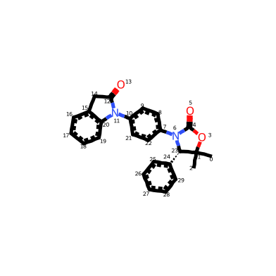 CC1(C)OC(=O)N(c2ccc(N3C(=O)Cc4ccccc43)cc2)[C@H]1c1ccccc1